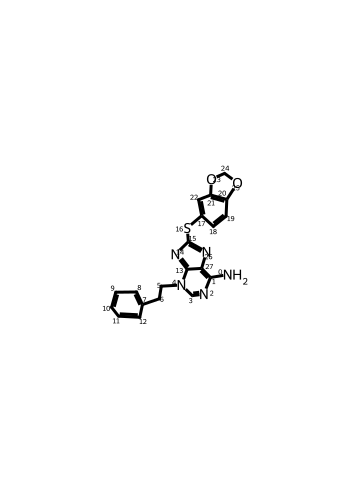 Nc1ncn(CCc2ccccc2)c2nc(Sc3ccc4c(c3)OCO4)nc1-2